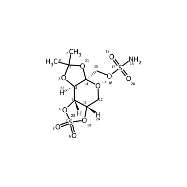 CC1(C)O[C@@H]2[C@H]3OS(=O)(=O)O[C@H]3CO[C@]2(COS(N)(=O)=O)O1